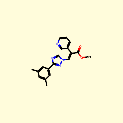 Cc1cc(C)cc(-c2ncn(/C=C(/C(=O)OC(C)C)c3cccnc3)n2)c1